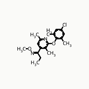 CC/C(=N/OC)c1cc(C)nc(Oc2c(C)cc(Cl)cc2C)c1C